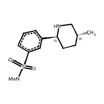 CNS(=O)(=O)c1cccc([C@@H]2CC[C@@H](C)CN2)c1